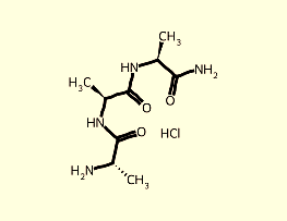 C[C@H](N)C(=O)N[C@@H](C)C(=O)N[C@@H](C)C(N)=O.Cl